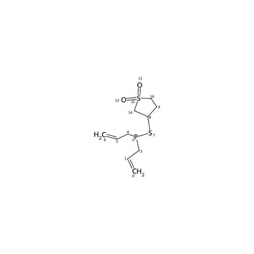 C=CCP(CC=C)SC1CCS(=O)(=O)C1